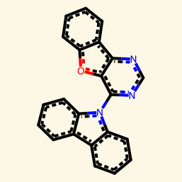 c1ccc2c(c1)oc1c(-n3c4ccccc4c4ccccc43)ncnc12